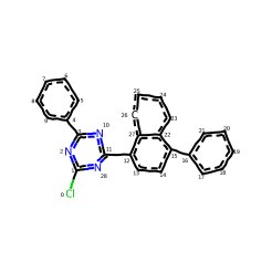 Clc1nc(-c2ccccc2)nc(-c2ccc(-c3ccccc3)c3ccccc23)n1